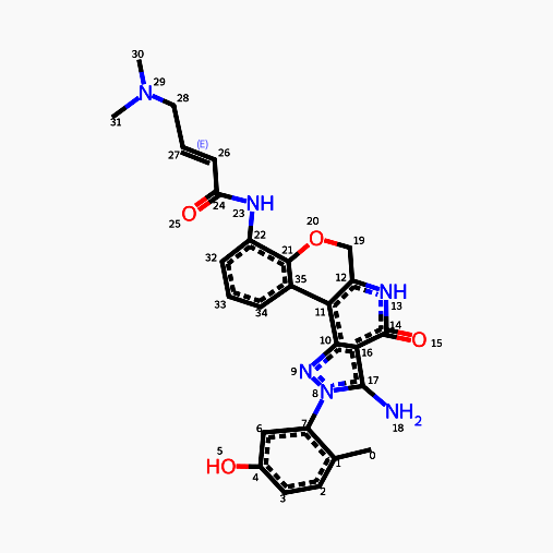 Cc1ccc(O)cc1-n1nc2c3c([nH]c(=O)c2c1N)COc1c(NC(=O)/C=C/CN(C)C)cccc1-3